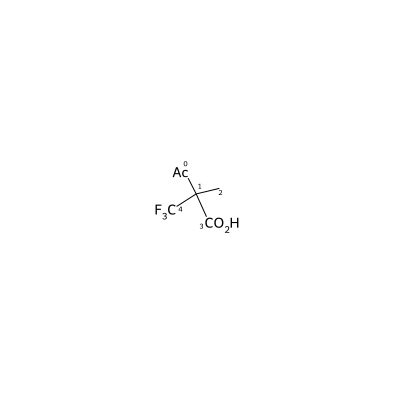 CC(=O)C(C)(C(=O)O)C(F)(F)F